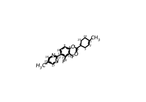 CC1=CCC(C(=O)Oc2ccc(-c3ncc(C)cn3)c(F)c2F)CC1